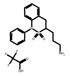 NCCCC1Cc2ccccc2N(c2ccccc2)S1(=O)=O.O=C(O)C(F)(F)F